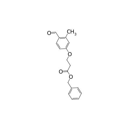 Cc1cc(OCCC(=O)OCc2ccccc2)ccc1C=O